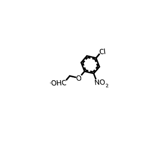 O=[C]COc1ccc(Cl)cc1[N+](=O)[O-]